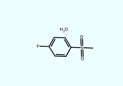 CS(=O)(=O)c1ccc(F)cc1.O